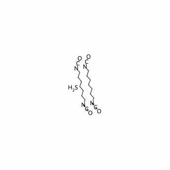 O=C=NCCCCCCCN=C=O.O=C=NCCCCCCCN=C=O.S